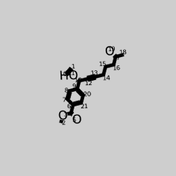 C=C.COC(=O)c1ccc(C(O)C#CCCCC(C)=O)cc1